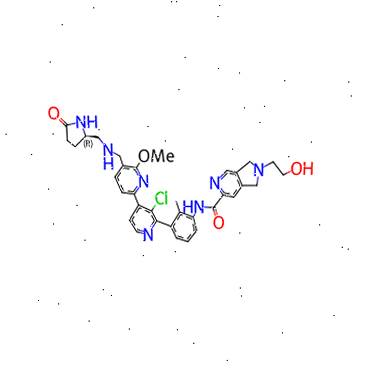 COc1nc(-c2ccnc(-c3cccc(NC(=O)c4cc5c(cn4)CN(CCO)C5)c3C)c2Cl)ccc1CNC[C@H]1CCC(=O)N1